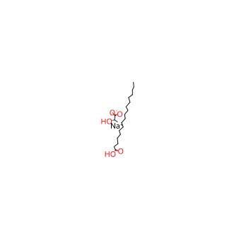 CC(O)C(=O)[O-].CCCCCCCCCCCCCCCCCC(=O)O.[Na+]